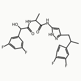 CC(NC(=O)C(O)c1cc(F)cc(F)c1)C(=O)Nc1cc(CC(C)c2ccc(F)c(F)c2)n[nH]1